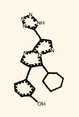 Oc1cccc(-c2cnc3c(-c4nnn[nH]4)cnn3c2C2CCCCC2)c1